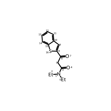 CCN(CC)C(=O)CC(=O)c1cc2ccccc2s1